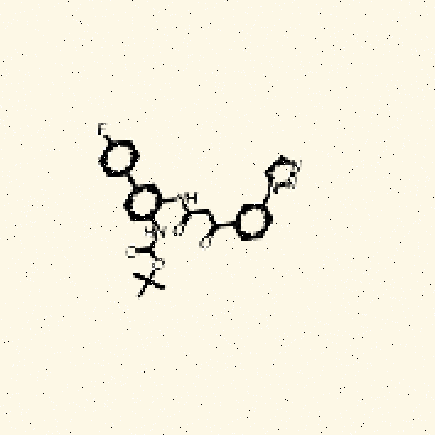 CC(C)(C)OC(=O)Nc1ccc(-c2ccc(F)cc2)cc1NC(=O)CC(=O)c1cccc(-n2ccnn2)c1